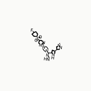 Cn1cc(-c2c[nH]c(/C(=N\C=N)N3CCN(c4ncc(S(=O)(=O)c5ccc(F)cc5)cn4)CC3)c2)cn1